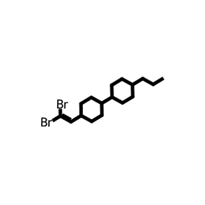 CCCC1CCC(C2CCC(C=C(Br)Br)CC2)CC1